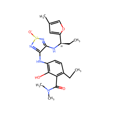 CCc1ccc(Nc2n[s+]([O-])nc2N[C@H](CC)c2cc(C)co2)c(O)c1C(=O)N(C)C